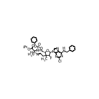 CN=CCC1(C)C(F)[C@H](n2cnc3c(NCc4ccccc4)nc(Cl)nc32)O[C@@H]1COP(=O)(N[C@@H](C)C(=O)OC(C)C)Oc1ccccc1